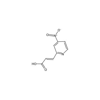 O=C(O)C=Cc1cc([N+](=O)[O-])ccn1